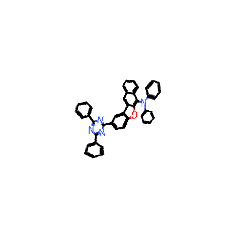 c1ccc(-c2nc(-c3ccccc3)nc(-c3ccc4oc5c(N(c6ccccc6)c6ccccc6)c6ccccc6cc5c4c3)n2)cc1